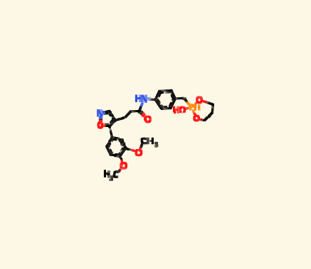 COc1ccc(-c2oncc2CCC(=O)Nc2ccc(C[PH]3(O)OCCCO3)cc2)cc1OC